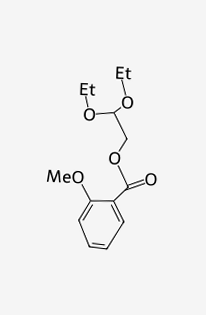 CCOC(COC(=O)c1ccccc1OC)OCC